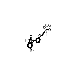 CC(C)(C)OC(=O)NCCOc1cccc(-n2c(=O)[nH]c3ccc(Br)cc32)c1